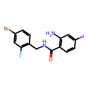 Nc1cc(I)ccc1C(=O)NCc1ccc(Br)cc1F